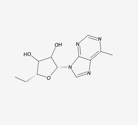 CC[C@H]1O[C@@H](n2cnc3c(C)ncnc32)C(O)C1O